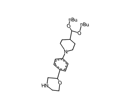 CCCCOC(OCCCC)C1CCN(c2ccc(C3CNCCO3)cc2)CC1